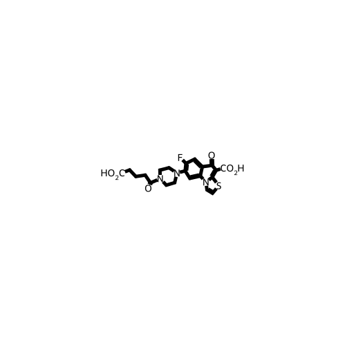 O=C(O)CCCC(=O)N1CCN(c2cc3c(cc2F)c(=O)c(C(=O)O)c2sccn23)CC1